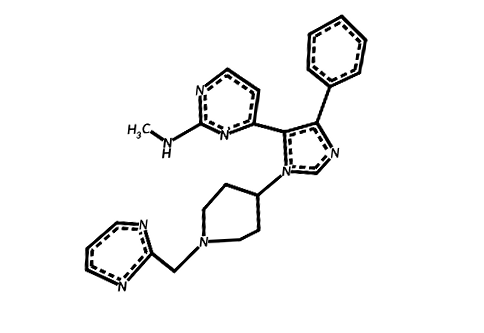 CNc1nccc(-c2c(-c3ccccc3)ncn2C2CCN(Cc3ncccn3)CC2)n1